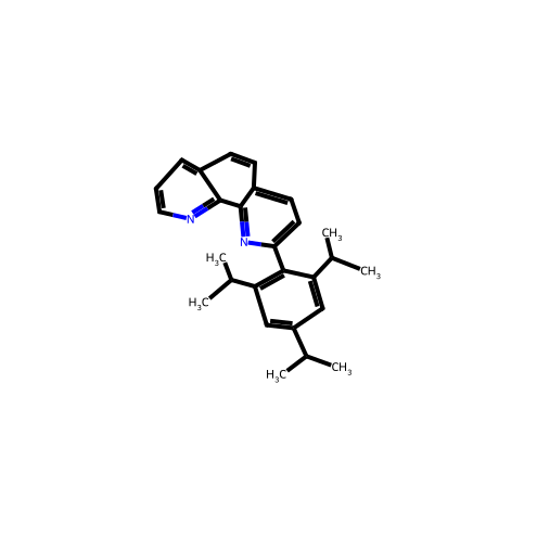 CC(C)c1cc(C(C)C)c(-c2ccc3ccc4cccnc4c3n2)c(C(C)C)c1